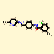 Cc1ccc(NCC2CCC(NC(=O)c3cc(C(F)(F)F)ccc3Cl)CC2)cn1